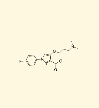 CN(C)CCCOc1cn(-c2ccc(F)cc2)nc1C(=O)Cl